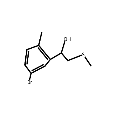 CSCC(O)c1cc(Br)ccc1C